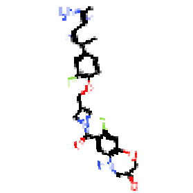 C/C(N)=C/C=C\C(C)c1ccc(OCC2CN(C(=O)c3cc4c(cc3F)OCC(=O)CN4)C2)c(F)c1